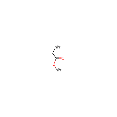 [CH2]CCOC(=O)CCCC